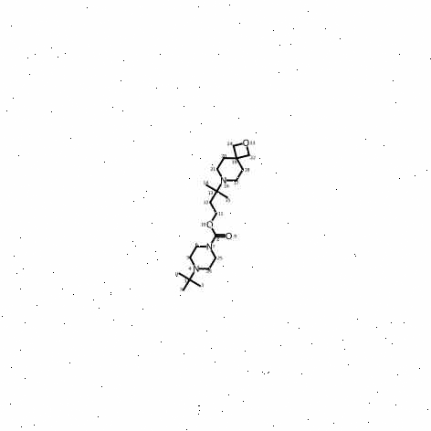 CC(C)(C)N1CCN(C(=O)OCCC(C)(C)N2CCC3(CC2)COC3)CC1